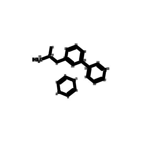 C1=COC=CO1.CN(Cc1cccc(-c2cccnc2)c1)C(=O)O